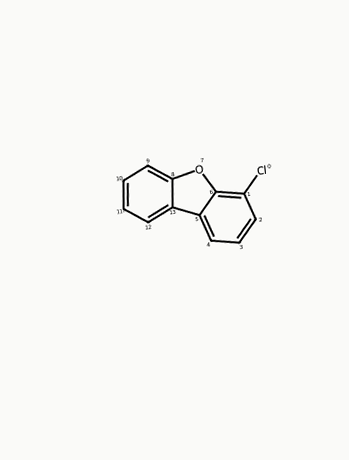 Clc1cccc2c1oc1cc[c]cc12